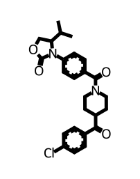 CC(C)C1COC(=O)N1c1ccc(C(=O)N2CCC(C(=O)c3ccc(Cl)cc3)CC2)cc1